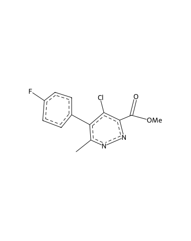 COC(=O)c1nnc(C)c(-c2ccc(F)cc2)c1Cl